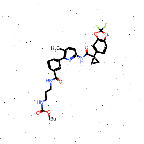 Cc1ccc(NC(=O)C2(c3ccc4c(c3)OC(F)(F)O4)CC2)nc1-c1cccc(C(=O)NCCCNC(=O)OC(C)(C)C)c1